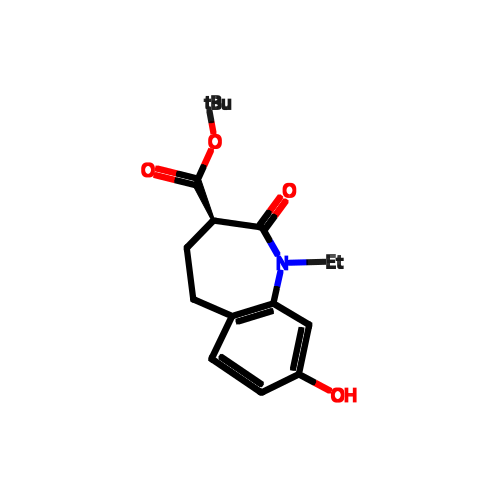 CCN1C(=O)[C@H](C(=O)OC(C)(C)C)CCc2ccc(O)cc21